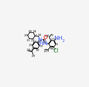 CCc1c(N)cc(Cl)c(CC)c1NC(=O)N(CC1CCCCC1)c1ccc(C(C)C)cc1